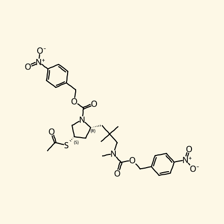 CC(=O)S[C@H]1C[C@@H](CC(C)(C)CN(C)C(=O)OCc2ccc([N+](=O)[O-])cc2)N(C(=O)OCc2ccc([N+](=O)[O-])cc2)C1